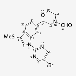 CSc1cn(-c2ncc(Br)cn2)c2cc(C3CN(C=O)CCO3)ccc12